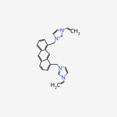 C=Cn1cc[n+](Cc2cccc3cc4cccc(C[n+]5ccn(C=C)c5)c4cc23)c1